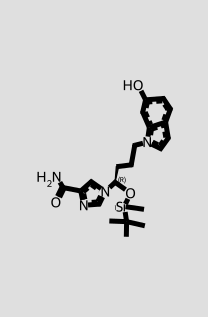 CC(C)(C)[Si](C)(C)O[C@H](CCCn1ccc2ccc(O)cc21)n1cnc(C(N)=O)c1